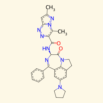 Cc1cc2nnc(C(=O)N[C@@H]3N=C(c4ccccc4)c4cc(N5CCCC5)cc5c4N(CC5)C3=O)c(C)n2n1